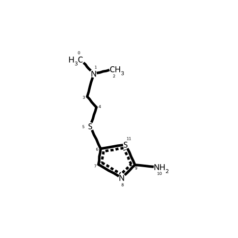 CN(C)CCSc1cnc(N)s1